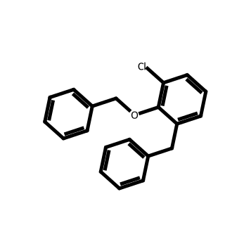 Clc1cccc(Cc2ccccc2)c1OCc1ccccc1